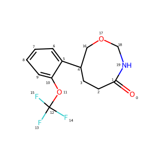 O=C1CCC(c2ccccc2OC(F)(F)F)COCN1